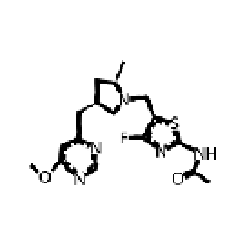 COc1cc(C[C@H]2C[C@@H](C)N(Cc3sc(NC(C)=O)nc3F)C2)ncn1